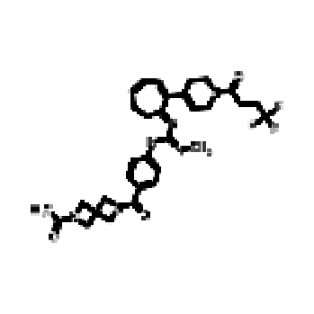 C/N=C(\N=C1/CCC=CC=C1C1=CCN(C(=O)CCC(F)(F)F)CC1)Nc1ccc(C(=O)N2CC3(CN(C(C)=O)C3)C2)cc1